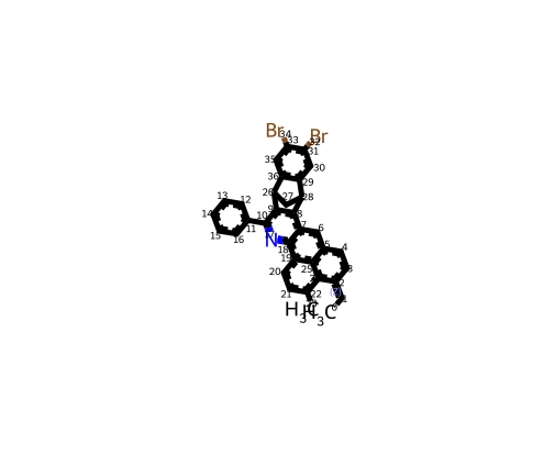 C/C=c1/ccc2cc3c4c(c(-c5ccccc5)nc3c3ccc(C)c1c23)C1CC4c2cc(Br)c(Br)cc21